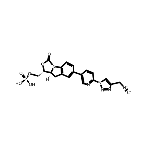 [C-]#[N+]Cc1cn(-c2ccc(-c3ccc4c(c3)C[C@H]3[C@H](COP(=O)(O)O)OC(=O)N43)cn2)nn1